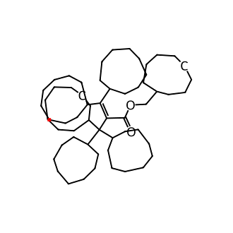 O=C(OCC1CCCCCCCC1)C(=C(C1CCCCCCCC1)C1CCCCCCCC1)C(C1CCCCCCCC1)(C1CCCCCCCC1)C1CCCCCCCC1